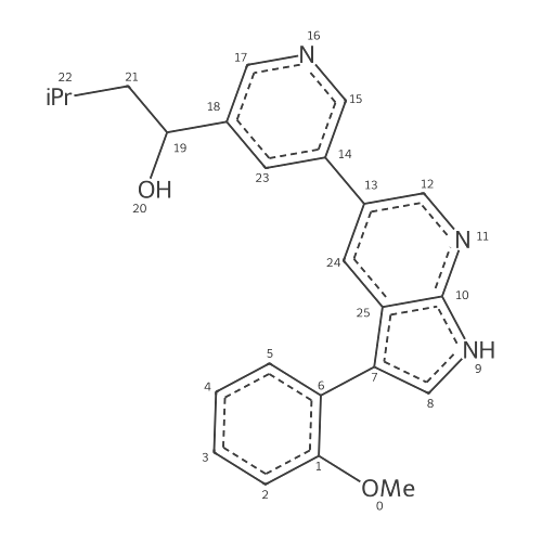 COc1ccccc1-c1c[nH]c2ncc(-c3cncc(C(O)CC(C)C)c3)cc12